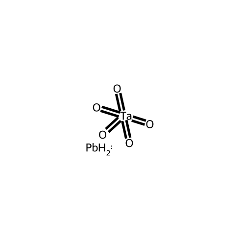 [O]=[Ta](=[O])(=[O])(=[O])=[O].[PbH2]